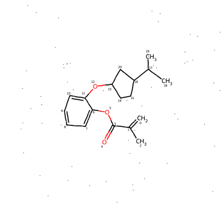 C=C(C)C(=O)Oc1ccccc1OC1CCC(C(C)C)C1